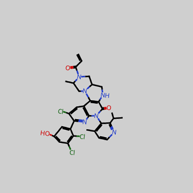 C=CC(=O)N1CC2CNc3c(c4cc(Cl)c(-c5cc(O)cc(Cl)c5Cl)nc4n(-c4c(C)ccnc4C(C)C)c3=O)N2CC1C